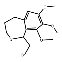 COc1cc2c(c(OC)c1OC)C(CBr)SCCC2